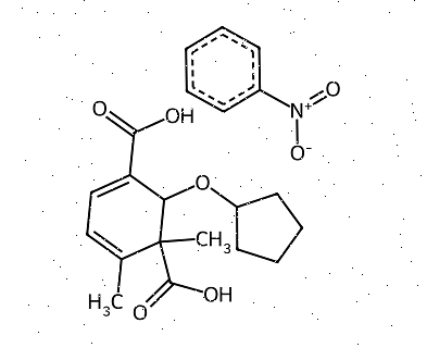 CC1=CC=C(C(=O)O)C(OC2CCCC2)C1(C)C(=O)O.O=[N+]([O-])c1ccccc1